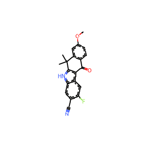 COc1ccc2c(c1)C(C)(C)c1[nH]c3cc(C#N)c(F)cc3c1C2=O